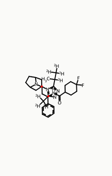 [2H]C([2H])([2H])c1nnc(C([2H])(C)C([2H])([2H])[2H])n1C1CC2CCC(C1)N2CCC(NC(=O)C1CCC(F)(F)CC1)c1ccccc1